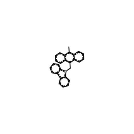 Cc1c2ccccc2c(Cn2c3ccccc3c3ccccc32)c2ccccc12